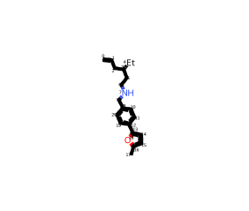 C=CCC(CC)CCNCc1ccc(-c2ccc(C)o2)cc1